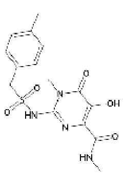 CNC(=O)c1nc(NS(=O)(=O)Cc2ccc(C)cc2)n(C)c(=O)c1O